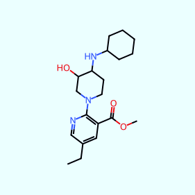 CCc1cnc(N2CCC(NC3CCCCC3)C(O)C2)c(C(=O)OC)c1